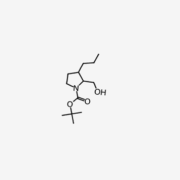 CCCC1CCN(C(=O)OC(C)(C)C)C1CO